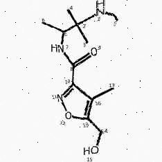 CNC(C)(C)C(C)NC(=O)c1noc(CO)c1C